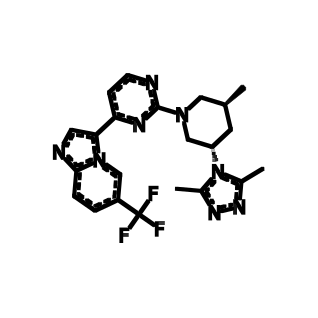 Cc1nnc(C)n1[C@H]1C[C@H](C)CN(c2nccc(-c3cnc4ccc(C(F)(F)F)cn34)n2)C1